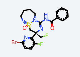 O=C(NC1=N[C@](CF)(c2nc(Br)ccc2F)CS2(=O)=NCCCCN12)c1ccccc1